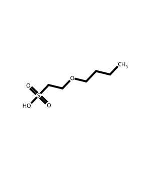 CCCCOCCS(=O)(=O)O